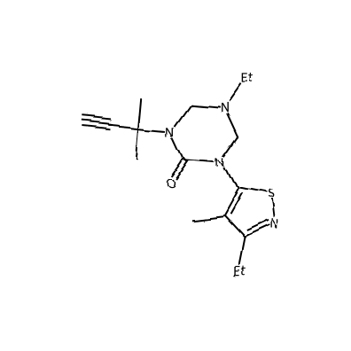 C#CC(C)(C)N1CN(CC)CN(c2snc(CC)c2C)C1=O